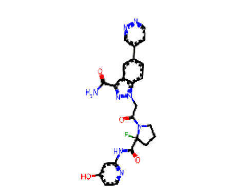 NC(=O)c1nn(CC(=O)N2CCC[C@]2(F)C(=O)Nc2cc(O)ccn2)c2ccc(-c3ccnnc3)cc12